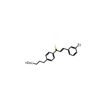 CCCCCCCCCCCCCc1ccc(C(=S)C=Cc2cccc(CC)c2)cc1